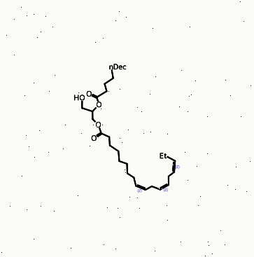 CC/C=C\C/C=C\C/C=C\CCCCCCCC(=O)OCC(CO)OC(=O)CCCCCCCCCCCCC